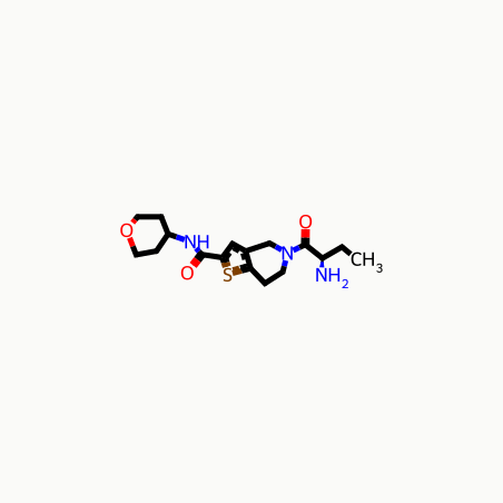 CC[C@@H](N)C(=O)N1CCc2sc(C(=O)NC3CCOCC3)cc2C1